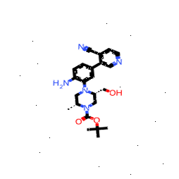 C[C@@H]1CN(c2cc(-c3cnccc3C#N)ccc2N)[C@H](CO)CN1C(=O)OC(C)(C)C